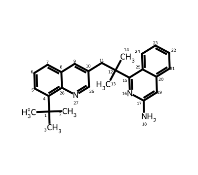 CC(C)(C)c1cccc2cc(CC(C)(C)c3nc(N)cc4ccccc34)cnc12